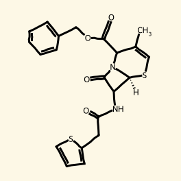 CC1=CS[C@H]2C(NC(=O)Cc3cccs3)C(=O)N2C1C(=O)OCc1ccccc1